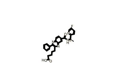 C[C@@H](NC(=O)c1ccc2nc(-c3ccccc3)c(CCCCC(=O)O)nc2c1)c1ccc(F)cn1